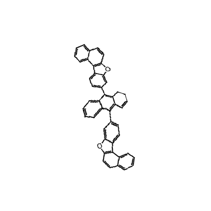 C1=Cc2c(c(-c3ccc4c(c3)oc3ccc5ccccc5c34)c3ccccc3c2-c2ccc3c(c2)oc2ccc4ccccc4c23)CC1